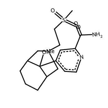 COC1(c2ccnc(C(N)=O)c2)C2CCCC1CN(CCS(C)(=O)=O)C2